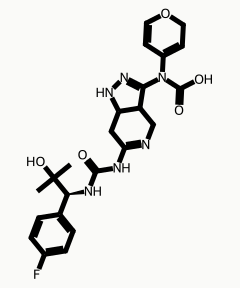 CC(C)(O)[C@@H](NC(=O)NC1=NCC2C(N(C(=O)O)C3=CCOC=C3)=NNC2C1)c1ccc(F)cc1